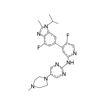 Cc1nc2c(F)cc(-c3cc(Nc4ncc(N5CCN(C)CC5)cn4)ncc3F)cc2n1C(C)C